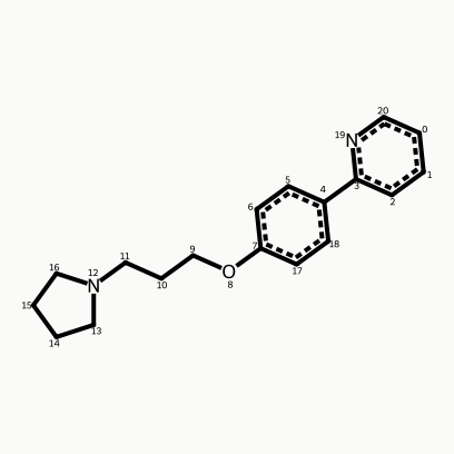 c1ccc(-c2ccc(OCCCN3CCCC3)cc2)nc1